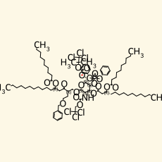 CCCCCCCCCCC[C@H](CC(=O)O[C@@H]1[C@H](NC(=O)OCC(Cl)(Cl)Cl)[C@@H](OC[C@@H](CCOCc2ccccc2)C(=O)C[C@@H](CCCCCCCCCCC)OC(=O)CCCCCCCCC)O[C@H](COC(=O)OC(C)(C)C(Cl)(Cl)Cl)[C@H]1OP(=O)(Oc1ccccc1)Oc1ccccc1)OC(=O)CCCCCCCCC